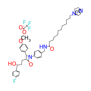 COc1ccc(C2C(CCC(O)c3ccc(F)cc3)C(=O)N2c2ccc(CNC(=O)CCCCCCCCCCC[N+]34CCN(CC3)CC4)cc2)cc1.O=C([O-])C(F)(F)F